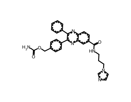 NC(=O)OCc1ccc(-c2nc3cc(C(=O)NCCCn4ccnc4)ccc3nc2-c2ccccc2)cc1